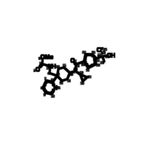 COC(=O)NCC1(c2ccccn2)CCC(N(C(=O)c2ccc([C@](C)(O)C(F)(F)F)cc2)C2CC2)CC1